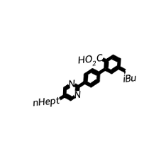 CCCCCCCc1cnc(-c2ccc(-c3cc(C[C@@H](C)CC)ccc3C(=O)O)cc2)nc1